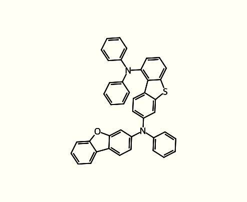 c1ccc(N(c2ccc3c(c2)oc2ccccc23)c2ccc3c(c2)sc2cccc(N(c4ccccc4)c4ccccc4)c23)cc1